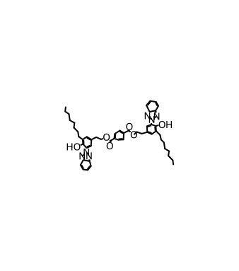 CCCCCCCCc1cc(CCOC(=O)c2ccc(C(=O)OCCc3cc(CCCCCCCC)c(O)c(-n4nc5ccccc5n4)c3)cc2)cc(-n2nc3ccccc3n2)c1O